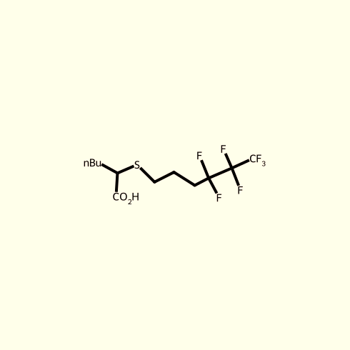 CCCCC(SCCCC(F)(F)C(F)(F)C(F)(F)F)C(=O)O